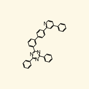 c1ccc(-c2ccnc(-c3ccc(-c4cccc(-c5nc(-c6ccccc6)nc(-c6ccccc6)n5)c4)cc3)c2)cc1